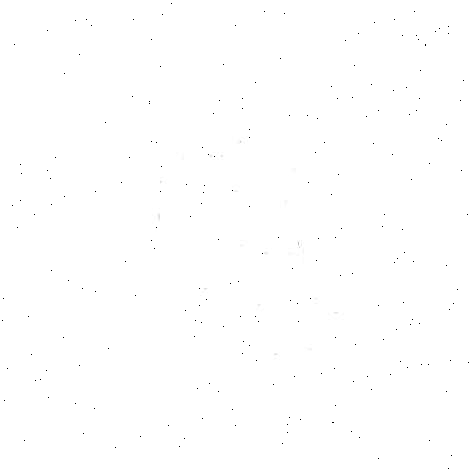 CC1=[C]([Hf]([C]2=C(C)C=CC2)([C]2=C(C(C)(C)C)C=CC2)[SiH](C)C)CC=C1.CC1=[C]([Hf]([C]2=C(C)C=CC2)([C]2=C(C(C)(C)C)C=CC2)[SiH](C)C)CC=C1.Cl.Cl